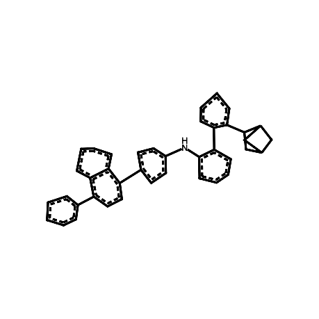 c1ccc(-c2ccc(-c3ccc(Nc4ccccc4-c4ccccc4C4CC5CC4C5)cc3)c3ccccc23)cc1